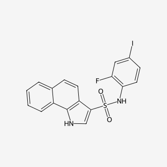 O=S(=O)(Nc1ccc(I)cc1F)c1c[nH]c2c1ccc1ccccc12